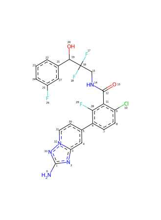 Nc1nc2cc(-c3ccc(Cl)c(C(=O)NCC(F)(F)C(O)c4cccc(F)c4)c3F)ccn2n1